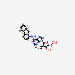 CO[C@@H]1[C@H](O)[C@@H](CO)O[C@H]1n1cnc2c(Nc3cccc4c3Cc3ccccc3-4)ncnc21